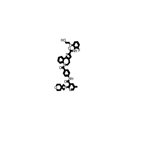 Cc1cnc(N2CC3(CCOCC3)C2)c(C(=O)Nc2ccc(C(=O)N3CCc4cc(C(=O)Nc5c(F)cccc5OCCO)sc4-c4ccccc43)cc2)c1